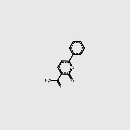 NC(=O)c1ccc(-c2ccccc2)oc1=O